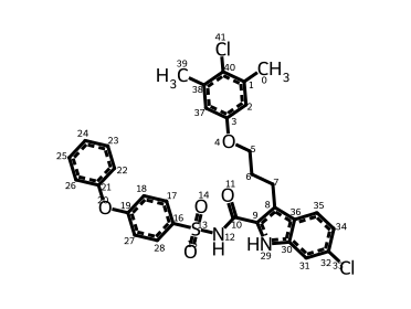 Cc1cc(OCCCc2c(C(=O)NS(=O)(=O)c3ccc(Oc4ccccc4)cc3)[nH]c3cc(Cl)ccc23)cc(C)c1Cl